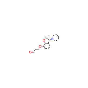 CC1(C)Oc2c(OCCC=O)cccc2C1N1CCCCC1